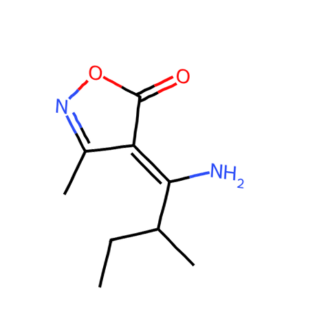 CCC(C)C(N)=C1C(=O)ON=C1C